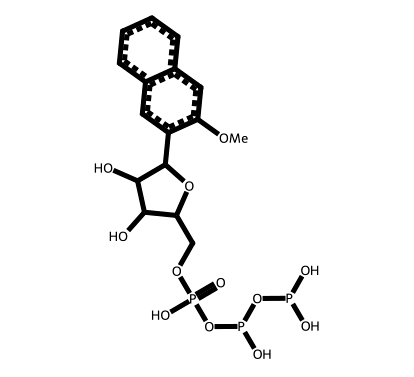 COc1cc2ccccc2cc1C1OC(COP(=O)(O)OP(O)OP(O)O)C(O)C1O